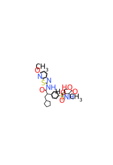 COc1ccc2nc(NC(=O)C(CC3CCCC3)c3ccc(S(=O)(=O)NC(C)(C)C(=O)O)cc3)sc2n1